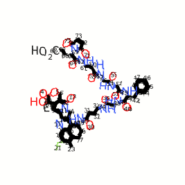 CC[C@@]1(O)C(=O)OCc2c1cc1n(c2=O)Cc2c-1nc1cc(F)c(C)c3c1c2[C@@H](NC(=O)CCCNC(=O)CNC(=O)[C@H](Cc1ccccc1)NC(=O)CNC(=O)CNC(=O)CCNC(=O)[C@H](CCC(=O)O)N1C(=O)C=CC1=O)CC3